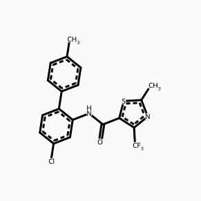 Cc1ccc(-c2ccc(Cl)cc2NC(=O)c2sc(C)nc2C(F)(F)F)cc1